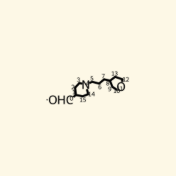 O=[C]C1CCN(CCCC2CCOCC2)CC1